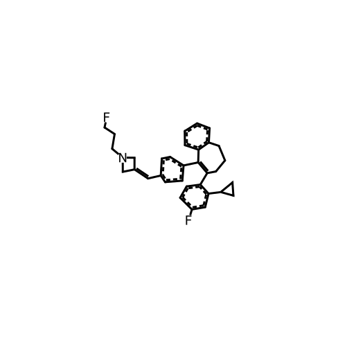 FCCCN1CC(=Cc2ccc(C3=C(c4ccc(F)cc4C4CC4)CCCc4ccccc43)cc2)C1